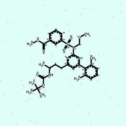 COCN(c1nc(CCC(C)NC(=O)OC(C)(C)C)cc(-c2c(C)cccc2C)n1)S(=O)(=O)c1cccc(C(=O)OC)c1